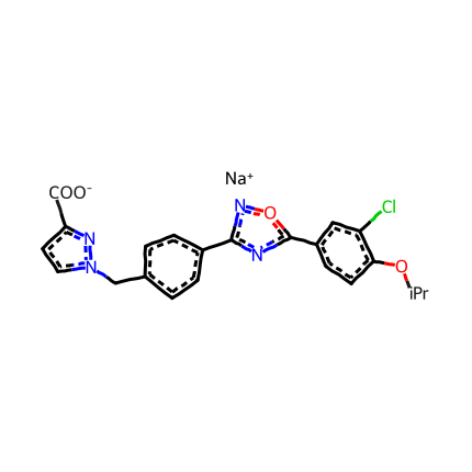 CC(C)Oc1ccc(-c2nc(-c3ccc(Cn4ccc(C(=O)[O-])n4)cc3)no2)cc1Cl.[Na+]